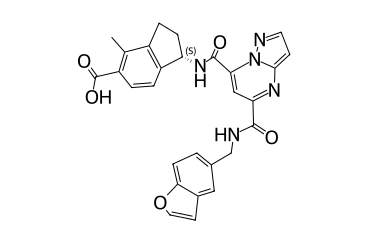 Cc1c(C(=O)O)ccc2c1CC[C@@H]2NC(=O)c1cc(C(=O)NCc2ccc3occc3c2)nc2ccnn12